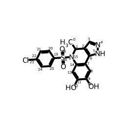 CC1c2cn[nH]c2-c2cc(O)c(O)cc2N1S(=O)(=O)c1ccc(Cl)cc1